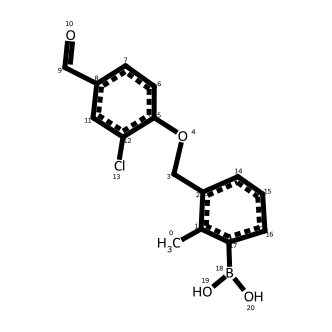 Cc1c(COc2ccc(C=O)cc2Cl)cccc1B(O)O